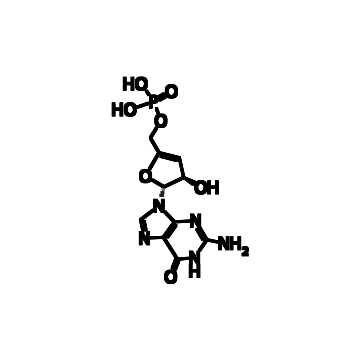 Nc1nc2c(ncn2[C@@H]2OC(COP(=O)(O)O)=C[C@H]2O)c(=O)[nH]1